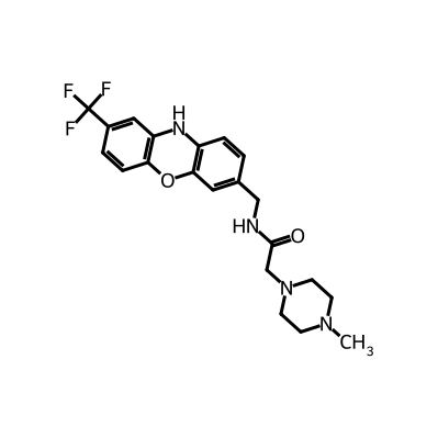 CN1CCN(CC(=O)NCc2ccc3c(c2)Oc2ccc(C(F)(F)F)cc2N3)CC1